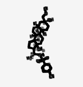 CCOC[C@@]1(O)CC[C@H]2[C@H](CC[C@@H]3[C@@H]2CC[C@]2(C)[C@@H]([C@@H](C)NS(=O)(=O)c4ccc(C#N)cn4)CC[C@@H]32)C1